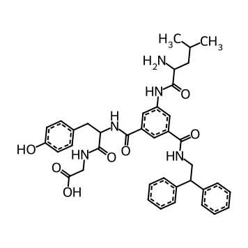 CC(C)CC(N)C(=O)Nc1cc(C(=O)NCC(c2ccccc2)c2ccccc2)cc(C(=O)NC(Cc2ccc(O)cc2)C(=O)NCC(=O)O)c1